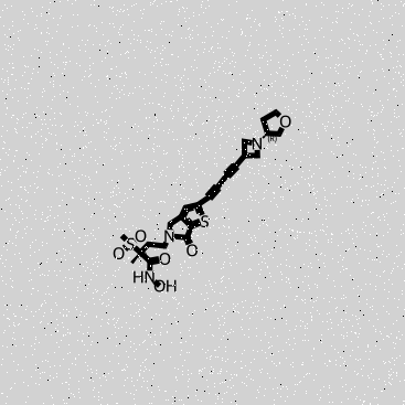 C[C@@](CCN1Cc2cc(C#CC#CC3CN([C@@H]4CCOC4)C3)sc2C1=O)(C(=O)NO)S(C)(=O)=O